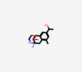 Cc1cc(C(C)O)cc2c1C[C@H]1NCC[C@@]23CCCC[C@@H]13